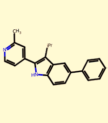 Cc1cc(-c2[nH]c3ccc(-c4cc[c]cc4)cc3c2C(C)C)ccn1